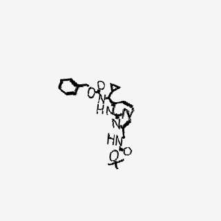 CC(C)(C)OC(=O)NCc1cn2ccc(C(NC(=O)OCc3ccccc3)C3CC3)nc2n1